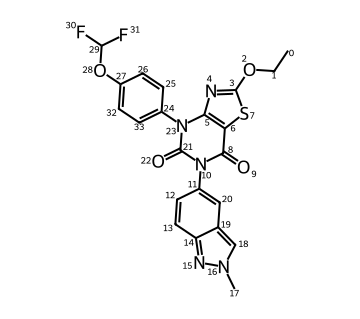 CCOc1nc2c(s1)c(=O)n(-c1ccc3nn(C)cc3c1)c(=O)n2-c1ccc(OC(F)F)cc1